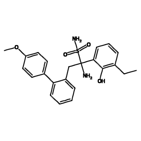 CCc1cccc(C(N)(Cc2ccccc2-c2ccc(OC)cc2)S(N)(=O)=O)c1O